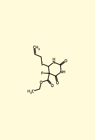 C=CCSC1NC(=O)NC(=O)C1(F)C(=O)OCC